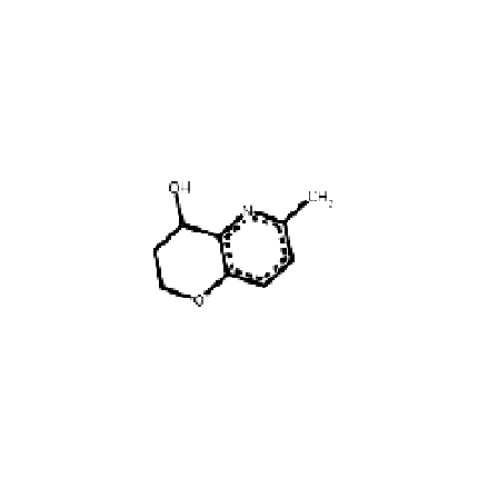 Cc1ccc2c(n1)C(O)CCO2